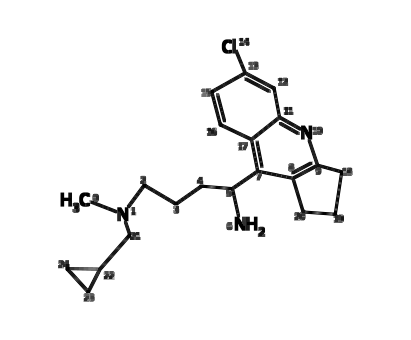 CN(CCCC(N)c1c2c(nc3cc(Cl)ccc13)CCC2)CC1CC1